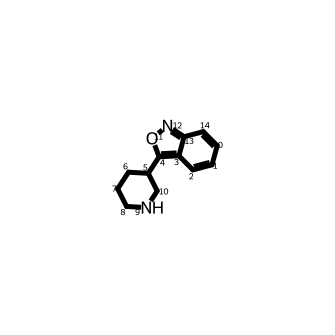 c1ccc2c(C3CCCNC3)onc2c1